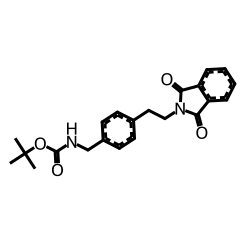 CC(C)(C)OC(=O)NCc1ccc(CCN2C(=O)c3ccccc3C2=O)cc1